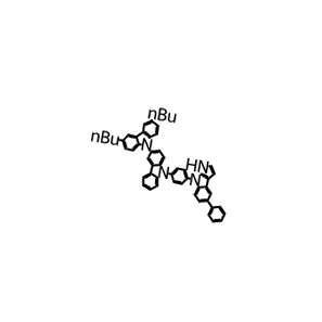 CCCCc1ccc2c(c1)c1cc(CCCC)ccc1n2-c1ccc2c(c1)c1ccccc1n2-c1ccc(-n2c3ccc(-c4ccccc4)cc3c3cc[nH]c32)cc1